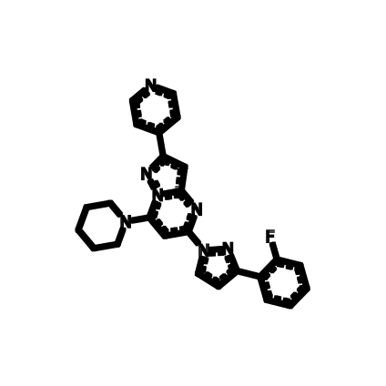 Fc1ccccc1-c1ccn(-c2cc(N3CCCCC3)n3nc(-c4ccncc4)cc3n2)n1